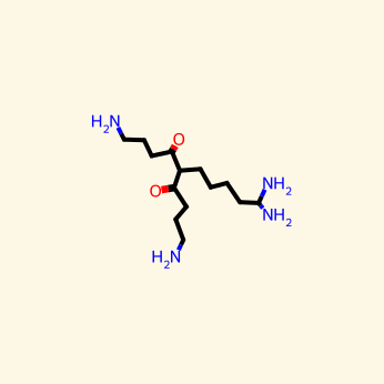 NCCCC(=O)C(CCCCC(N)N)C(=O)CCCN